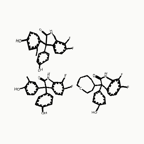 Cc1cc(C2(c3ccc(O)cc3)C(=O)Nc3c2ccc(F)c3F)ccc1O.Cc1cc(O)ccc1C1(c2ccc(O)cc2)C(=O)Nc2c1ccc(F)c2F.O=C1Nc2c(ccc(F)c2F)C1(c1ccc(O)cc1)C1CCCCCCC1